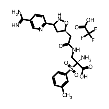 Cc1cccc(S(=O)(=O)[C@@](N)(CNC(=O)C[C@H]2CC(c3ccc(C(=N)N)cn3)NO2)C(=O)O)c1.O=C(O)C(F)(F)F